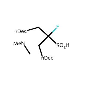 CCCCCCCCCCCC(F)(CCCCCCCCCCC)S(=O)(=O)O.CNC